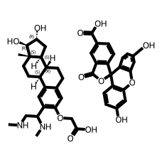 CNCC(NC)c1cc2c(cc1OCC(=O)O)CC[C@@H]1[C@@H]2CC[C@]2(C)[C@@H](O)[C@H](O)C[C@@H]12.O=C(O)c1ccc2c(c1)C(=O)OC21c2ccc(O)cc2Oc2cc(O)ccc21